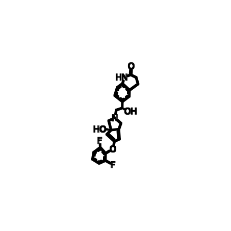 O=C1CCc2cc([C@H](O)CN3CC4=CC(Oc5c(F)cccc5F)=C[C@]4(O)C3)ccc2N1